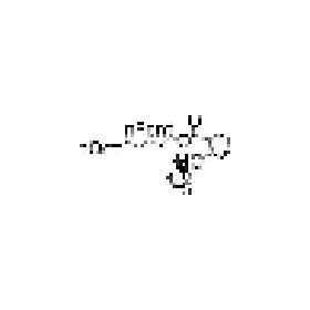 CCCCCCCCC(CCCCC)CCCCOC(=O)c1ccccc1O.c1csnn1